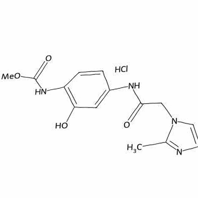 COC(=O)Nc1ccc(NC(=O)Cn2ccnc2C)cc1O.Cl